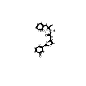 CC(Cc1ccccc1)(NC(=O)Cc1csc(-c2cccc(Cl)c2)n1)C(=O)O